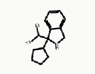 CCCC(CC)C1(C2CCCC2)NCc2ccccc21